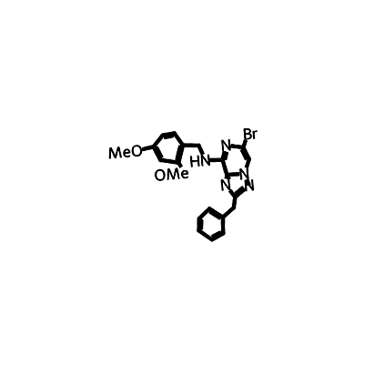 COc1ccc(CNc2nc(Br)cn3nc(Cc4ccccc4)nc23)c(OC)c1